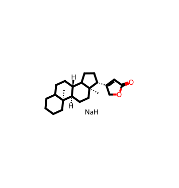 C[C@]12CC[C@@H]3[C@H](CCC4CCCC[C@@]43C)C1CC[C@@H]2C1=CC(=O)OC1.[NaH]